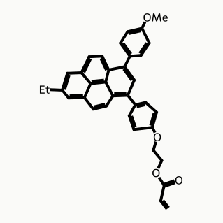 C=CC(=O)OCCOc1ccc(-c2cc(-c3ccc(OC)cc3)c3ccc4cc(CC)cc5ccc2c3c45)cc1